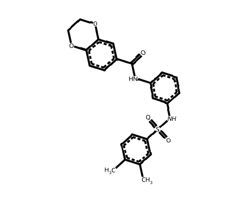 Cc1ccc(S(=O)(=O)Nc2cccc(NC(=O)c3ccc4c(c3)OCCO4)c2)cc1C